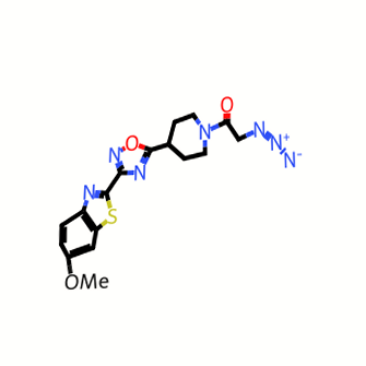 COc1ccc2nc(-c3noc(C4CCN(C(=O)CN=[N+]=[N-])CC4)n3)sc2c1